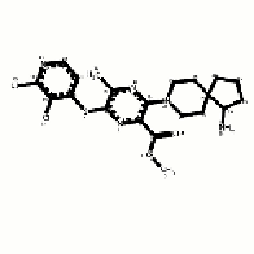 COC(=O)c1nc(Sc2ccnc(Cl)c2Cl)c(C)nc1N1CCC2(CCCC2N)CC1